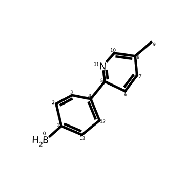 Bc1ccc(-c2ccc(C)cn2)cc1